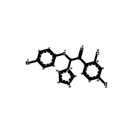 CCc1ccc(OC(C(=O)c2ccc(Cl)cc2Cl)n2cncn2)cc1